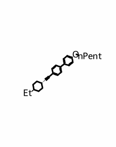 CCCCCOc1ccc(-c2ccc(C#C[C@H]3CC[C@H](CC)CC3)cc2)cc1